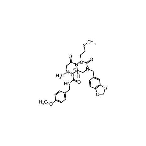 COc1ccc(CNC(=O)N2[C@H]3CN(Cc4ccc5c(c4)OCO5)C(=O)[C@H](CCSC)N3C(=O)CN2C)cc1